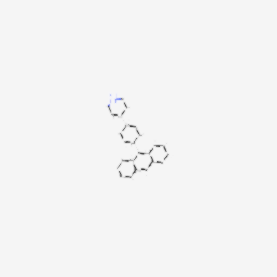 c1ccc2c(-c3ccc(-c4ccncc4)cc3)c3ccccc3cc2c1